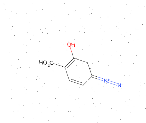 [N-]=[N+]=C1C=CC(C(=O)O)=C(O)C1